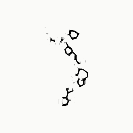 CCCOC(=O)[C@H](C)NP(=O)(Cc1ccc2sc(C(=O)N[C@H]3CCC[C@H]4CC[C@@H](C(=O)N5CC(c6cnccc6Cl)C5)N4C3=O)cc2c1)Oc1ccccc1